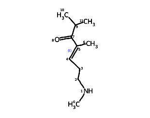 CNCC/C=C(\C)C(=O)C(C)C